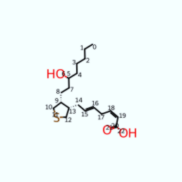 CCCCCC(O)CC[C@H]1CSC[C@H]1CC=CC/C=C\C(=O)O